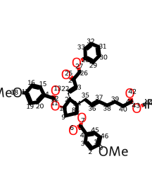 COc1ccc(C(=O)O[C@H]2C[C@@H](OC(=O)c3ccc(OC)cc3)[C@H](C=CC(=O)COc3ccccc3)[C@H]2CC=CCCCC(=O)OC(C)C)cc1